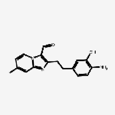 Cc1ccn2c(C=O)c(CCc3ccc(N)c(O)c3)nc2c1